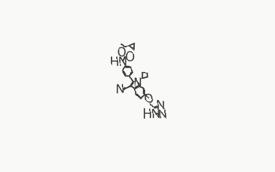 CC(OC(=O)Nc1ccc(-c2c(C#N)c3ccc(OCc4ncn[nH]4)cc3n2C2CCC2)cc1)C1CC1